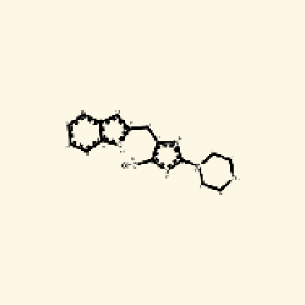 O=Cc1sc(N2CCOCC2)nc1Cc1cc2ccccc2o1